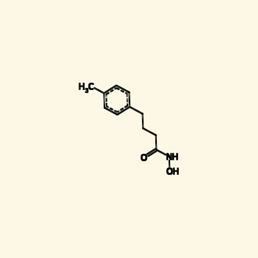 Cc1ccc(CCCC(=O)NO)cc1